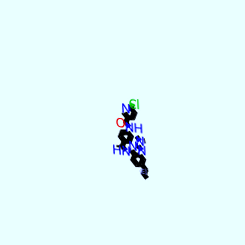 C/C=C/c1ccc2c(N[C@@H](C)c3ccc(NC(=O)c4ccc(Cl)nc4)cc3)nc(N(C)C)nc2c1